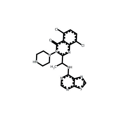 CC(Nc1ncnc2scnc12)c1nc2c(Cl)ccc(Cl)c2c(=O)n1N1CCNCC1